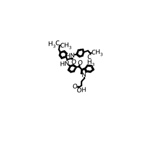 CC(C)Cc1ccc(NC(=O)C(Nc2cccc(C(=O)c3cn(CCCC(=O)O)c4ccccc34)c2)c2ccc(CC(C)C)cc2)cc1